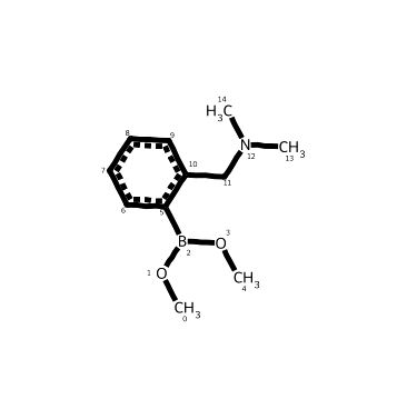 COB(OC)c1ccccc1CN(C)C